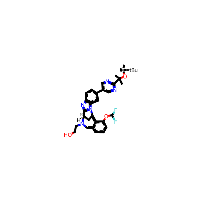 CC(C)(O[Si](C)(C)C(C)(C)C)c1ncc(-c2ccc3nc4n(c3c2)C2=c3c(OC(F)F)cccc3=CN(CCO)[C@@H]4C2)cn1